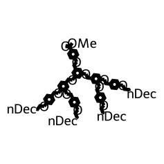 CCCCCCCCCCCCOc1ccc(COc2ccc(COc3cc(COc4ccc(C(=O)OC)cc4)cc(OCc4ccc(OCc5ccc(OCCCCCCCCCCCC)cc5)c(OCc5ccc(OCCCCCCCCCCCC)cc5)c4)c3)cc2OCc2ccc(OCCCCCCCCCCCC)cc2)cc1